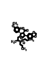 CCCN(C(C)CN1C[C@H](c2ccc3c(c2)OCO3)[C@H](C(=O)O)[C@H]1c1ccc(OC)cc1)S(=O)(=O)CCC